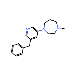 CN1CCCN(c2cncc(Cc3ccccc3)c2)CC1